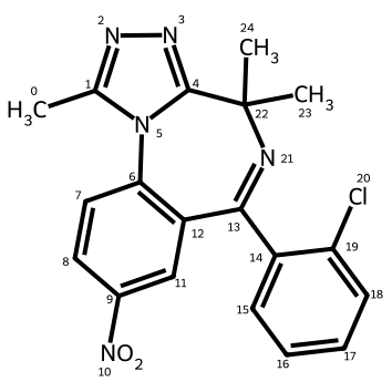 Cc1nnc2n1-c1ccc([N+](=O)[O-])cc1C(c1ccccc1Cl)=NC2(C)C